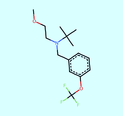 COCCN(Cc1cccc(OC(F)(F)F)c1)C(C)(C)C